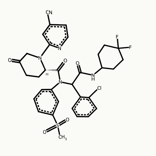 CS(=O)(=O)c1cccc(N(C(=O)[C@@H]2CCC(=O)CN2c2cc(C#N)ccn2)C(C(=O)NC2CCC(F)(F)CC2)c2ccccc2Cl)c1